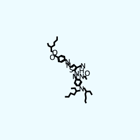 CCCCC(CC)COC(=O)c1ccc(N=Nc2cc(C#N)c(/N=N/c3ccc(N(CC(CC)CCCC)CC(CC)CCCC)cc3NC(C)=O)s2)cc1